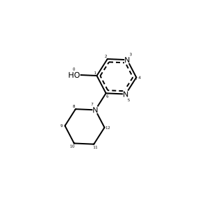 Oc1cn[c]nc1N1CCCCC1